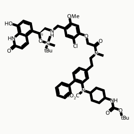 COc1cc(OCC(=O)N(C)CCc2ccc(-c3ccccc3)c(N(C(=O)O)C3CCC(NC(=O)OC(C)(C)C)CC3)c2)c(Cl)cc1CNC[C@@H](O[Si](C)(C)C(C)(C)C)c1ccc(O)c2[nH]c(=O)ccc12